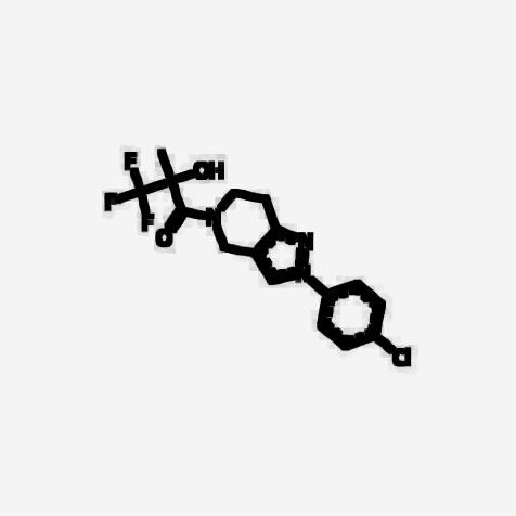 CC(O)(C(=O)N1CCc2nn(-c3ccc(Cl)cc3)cc2C1)C(F)(F)F